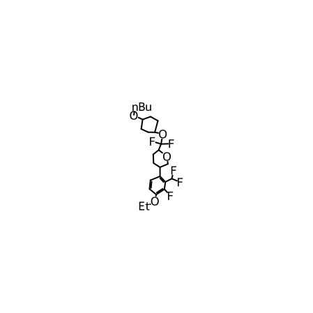 CCCCOC1CCC(OC(F)(F)C2CCC(c3ccc(OCC)c(F)c3C(F)F)CO2)CC1